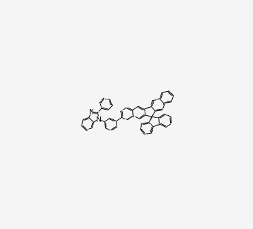 c1ccc(-c2nc3ccccc3n2-c2cccc(-c3ccc4cc5c(cc4c3)C3(c4ccccc4-c4ccccc43)c3cc4ccccc4cc3-5)c2)cc1